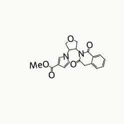 COC(=O)c1ccn(C2COCC2N2C(=O)Cc3ccccc3C2=O)c1